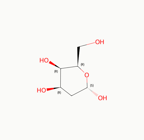 OC[C@H]1O[C@H](O)C[C@@H](O)[C@H]1O